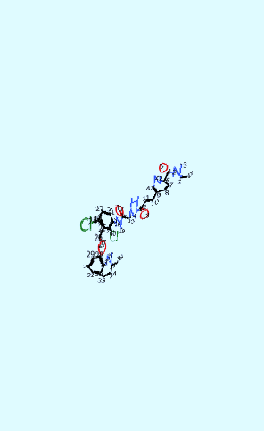 CCN(C)C(=O)c1ccc(C=CC(=O)NCC(=O)N(C)c2ccc(Cl)c(COc3cccc4ccc(C)nc34)c2Cl)cn1